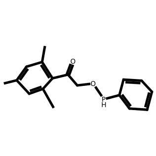 Cc1cc(C)c(C(=O)COPc2ccccc2)c(C)c1